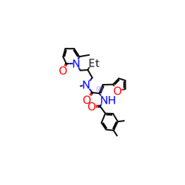 CCC(CN(C)C(=O)/C(=C/c1ccco1)NC(=O)c1ccc(C)c(C)c1)Cn1c(C)cccc1=O